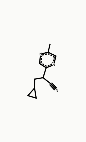 Cc1cnc(C(C#N)CC2CC2)cn1